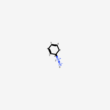 [N-]=[N+]=C1[C]=CC=CC1